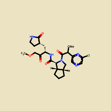 COC(C(=O)N1C[C@@H]2CCC[C@@H]2[C@H]1C(=O)N[C@@H](C[C@@H]1CCNC1=O)C(=O)COC(F)(F)F)c1cncc(Cl)n1